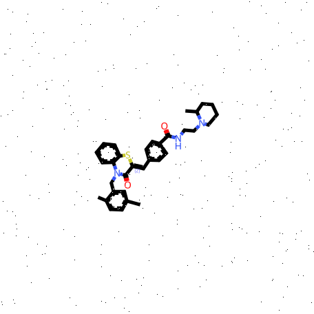 Cc1ccc(C)c(CN2C(=O)/C(=C/c3ccc(C(=O)NCCN4CCCCC4C)cc3)Sc3ccccc32)c1